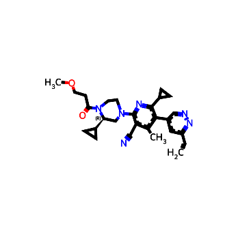 C=Cc1cc(-c2c(C3CC3)nc(N3CCN(C(=O)CCOC)[C@H](C4CC4)C3)c(C#N)c2C)cnn1